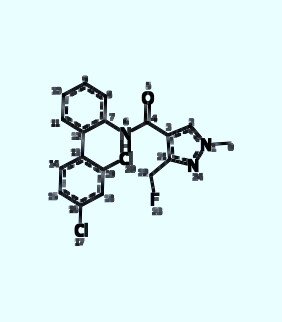 Cn1cc(C(=O)Nc2ccccc2-c2ccc(Cl)cc2Cl)c(CF)n1